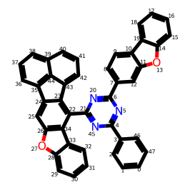 c1ccc(-c2nc(-c3ccc4c(c3)oc3ccccc34)nc(-c3c4c(cc5oc6ccccc6c35)-c3cccc5cccc-4c35)n2)cc1